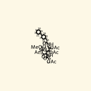 COC(=O)[C@@]1(SC(C)=O)C[C@H](OC(C)=O)[C@@H](NC(=O)COC(C)=O)[C@H]([C@H](OC(C)=O)[C@@H](CNC(=O)Cc2ccc(-c3ccccc3)cc2)OC(C)=O)O1